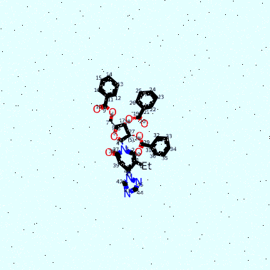 CCc1cn([C@@H]2O[C@H](COC(=O)c3ccccc3)C(OC(=O)c3ccccc3)[C@@H]2OC(=O)c2ccccc2)c(=O)cc1-n1cncn1